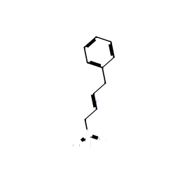 O=[SH](=O)C/C=C/Cc1ccccc1